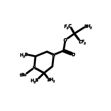 BC1CN(C(=O)OC(B)(C(F)(F)F)C(F)(F)F)CC(B)(B)N1C(C)(C)C